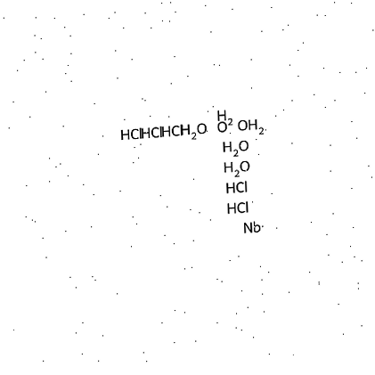 Cl.Cl.Cl.Cl.Cl.O.O.O.O.O.[Nb]